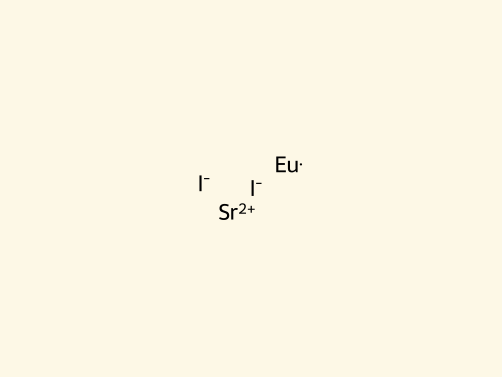 [Eu].[I-].[I-].[Sr+2]